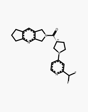 O=C([C@@H]1CCN(c2ccnc(C(F)F)c2)C1)N1Cc2cc3c(nc2C1)CCC3